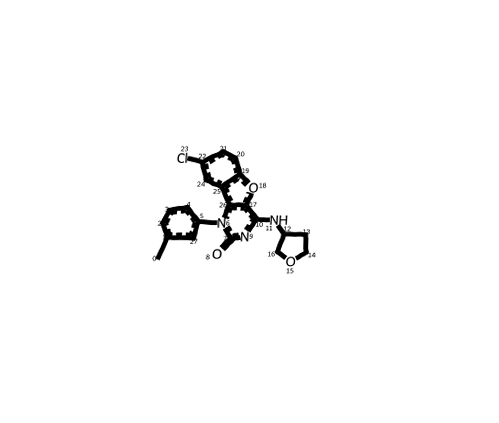 Cc1cccc(-n2c(=O)nc(NC3CCOC3)c3oc4ccc(Cl)cc4c32)c1